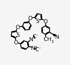 [C-]#[N+]c1ccc(Oc2ccc(Oc3cccc(Oc4ccc(Oc5ccc(C)c(C#N)c5)s4)c3)s2)cc1[N+]#[C-]